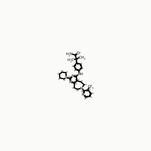 CC(C)(C(N)=O)c1ccc(Nc2nc(N3CCCCC3)nc3c2CCN(c2ncccc2C(F)(F)F)CC3)cc1